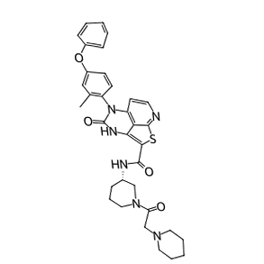 Cc1cc(Oc2ccccc2)ccc1N1C(=O)Nc2c(C(=O)N[C@H]3CCCN(C(=O)CN4CCCCC4)C3)sc3nccc1c23